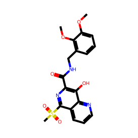 COc1cccc(CNC(=O)c2nc(S(C)(=O)=O)c3cccnc3c2O)c1OC